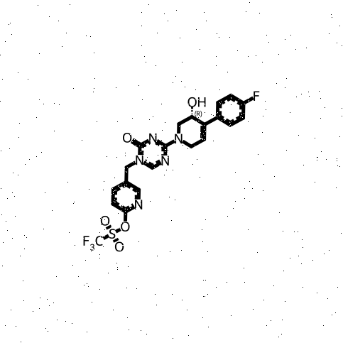 O=c1nc(N2CC=C(c3ccc(F)cc3)[C@@H](O)C2)ncn1Cc1ccc(OS(=O)(=O)C(F)(F)F)nc1